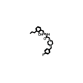 CCCc1cccc(C=NNC(=O)CN2CCN(Cc3ccc(F)cc3)CC2)c1O